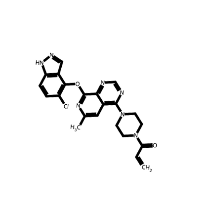 C=CC(=O)N1CCN(c2ncnc3c(Oc4c(Cl)ccc5[nH]ncc45)nc(C)cc23)CC1